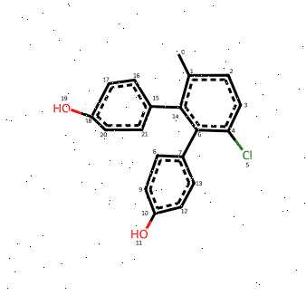 Cc1ccc(Cl)c(-c2ccc(O)cc2)c1-c1ccc(O)cc1